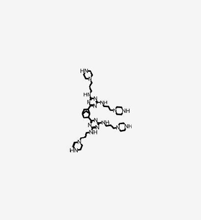 C(CNc1nc(NCCCN2CCNCC2)nc(C2CC3CC(c4nc(NCCCN5CCNCC5)nc(NCCCN5CCNCC5)n4)C2C3)n1)CN1CCNCC1